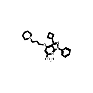 O=C(O)c1cc(OCCCN2CCCCC2)c2c(C3CCC3)nn(-c3ccccc3)c2n1